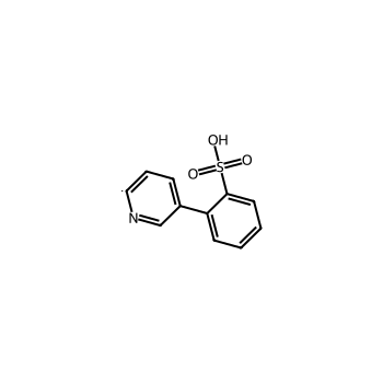 O=S(=O)(O)c1ccccc1-c1cc[c]nc1